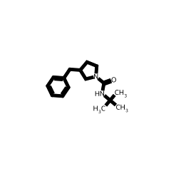 CC(C)(C)NC(=O)N1CCC(Cc2ccccc2)C1